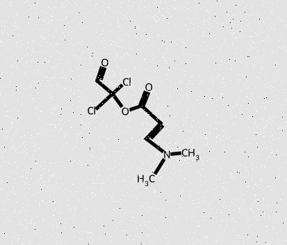 CN(C)C=CC(=O)OC(Cl)(Cl)C=O